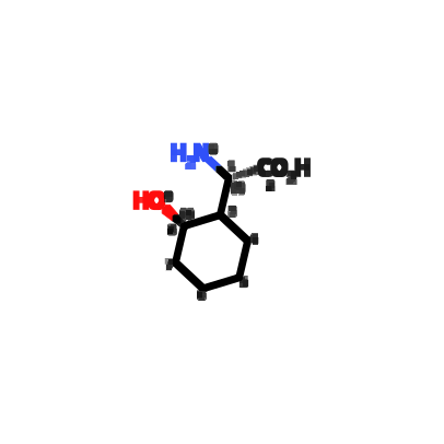 N[C@H](C(=O)O)C1CCCC[C@H]1O